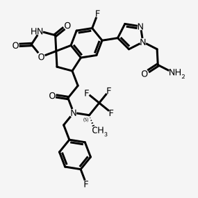 C[C@H](N(Cc1ccc(F)cc1)C(=O)CC1CC2(OC(=O)NC2=O)c2cc(F)c(-c3cnn(CC(N)=O)c3)cc21)C(F)(F)F